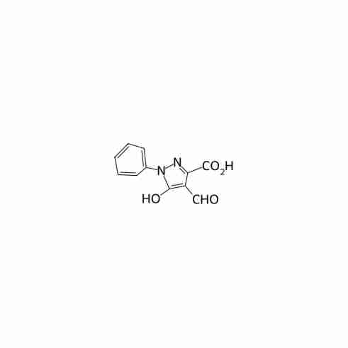 O=Cc1c(C(=O)O)nn(-c2ccccc2)c1O